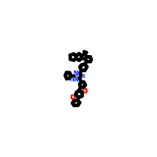 CC1(C)c2cc3ccccc3cc2-c2c(-c3ccc(/C=C/C(NC(N)c4ccccc4)c4ccc5oc6cc7c(cc6c5c4)oc4ccccc47)cc3)cccc21